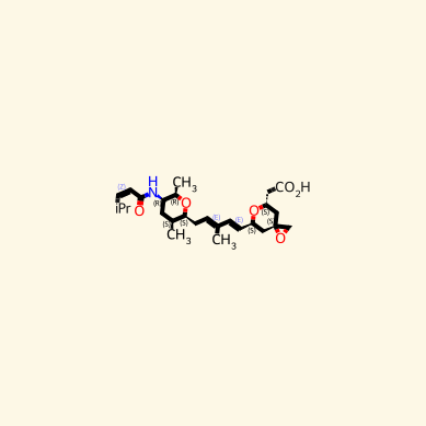 CC(/C=C/[C@@H]1C[C@]2(CO2)C[C@@H](CC(=O)O)O1)=C\C[C@@H]1O[C@H](C)[C@H](NC(=O)/C=C\C(C)C)C[C@@H]1C